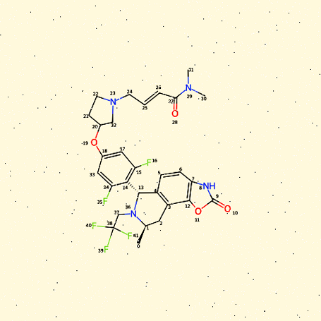 C[C@@H]1Cc2c(ccc3[nH]c(=O)oc23)[C@@H](c2c(F)cc(OC3CCN(C/C=C/C(=O)N(C)C)C3)cc2F)N1CC(F)(F)F